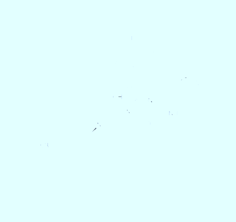 CN(C(=O)N1C(=O)Nc2ccccc2C1c1ccc(F)c(F)c1)C1(O)CN([C@H]2CC[C@H](c3ccccc3C#N)CC2)C1